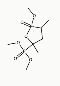 COP1(=O)OC(C)(P(=O)(OC)OC)CC1C